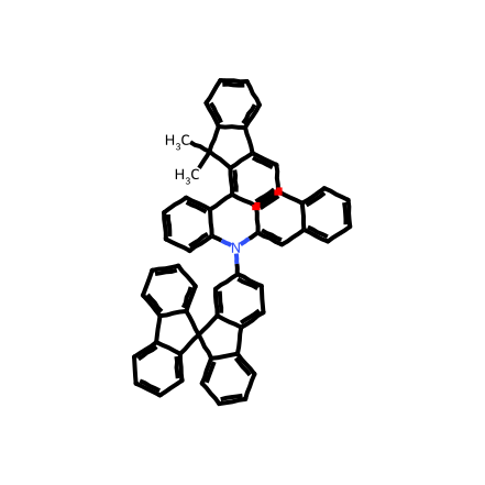 CC1(C)c2ccccc2-c2cccc(-c3ccccc3N(c3ccc4c(c3)C3(c5ccccc5-c5ccccc53)c3ccccc3-4)c3ccc4ccccc4c3)c21